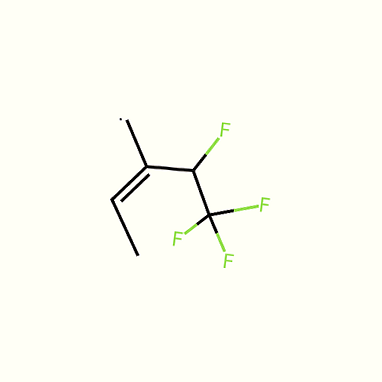 [CH2]C(=CC)C(F)C(F)(F)F